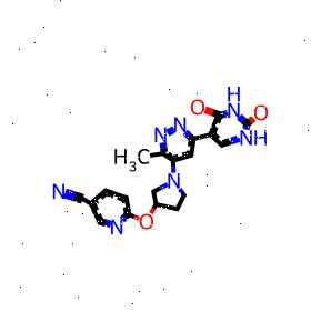 Cc1nnc(-c2c[nH]c(=O)[nH]c2=O)cc1N1CCC(Oc2ccc(C#N)cn2)C1